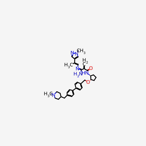 C=C(C(=O)N[C@H]1CCC[C@@H]1OCc1ccc(-c2ccc(CC3CCN(C)CC3)cc2)cc1)/C(N)=N\C=C(/C)c1cnn(C)c1